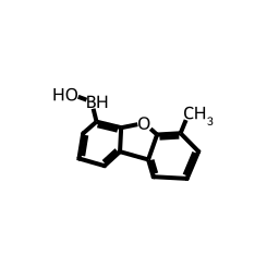 Cc1cccc2c1oc1c(BO)cccc12